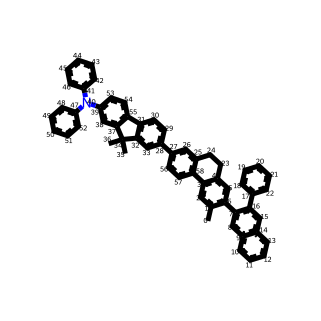 Cc1cc2c(cc1-c1cc3ccccc3cc1-c1ccccc1)CCc1cc(-c3ccc4c(c3)C(C)(C)c3cc(N(c5ccccc5)c5ccccc5)ccc3-4)ccc1-2